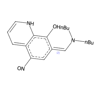 CCCCN(/C=c1/cc(N=O)c2c(c1O)NC=CC=2)CCCC